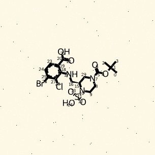 CC(C)(C)OC(=O)N1CCN(S(=O)(=O)O)[C@@H](CNc2c(C(=O)O)ccc(Br)c2Cl)C1